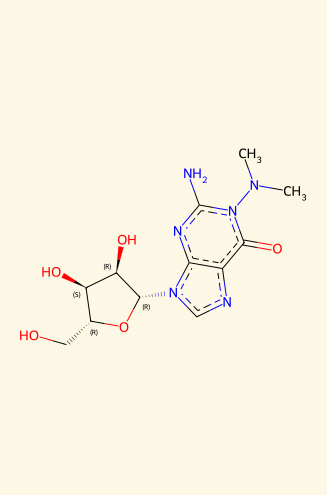 CN(C)n1c(N)nc2c(ncn2[C@@H]2O[C@H](CO)[C@@H](O)[C@H]2O)c1=O